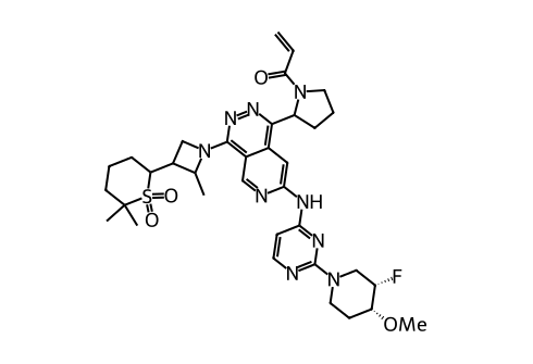 C=CC(=O)N1CCCC1c1nnc(N2CC(C3CCCC(C)(C)S3(=O)=O)C2C)c2cnc(Nc3ccnc(N4CC[C@@H](OC)[C@@H](F)C4)n3)cc12